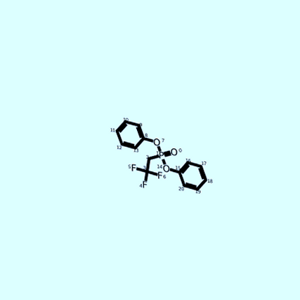 O=P(CC(F)(F)F)(Oc1ccccc1)Oc1ccccc1